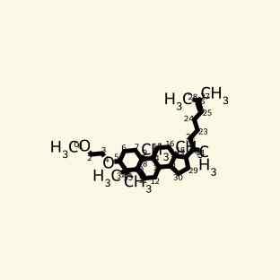 COCCOC1CCC2(C)C(=CCC3C2CCC2(C)C(C(C)CCCC=C(C)C)CCC32)C1(C)C